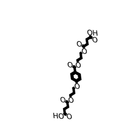 O=C(O)CCC(=O)OCCCOC(=O)c1ccc(OCCCOC(=O)CCC(=O)O)cc1